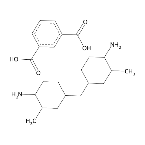 CC1CC(CC2CCC(N)C(C)C2)CCC1N.O=C(O)c1cccc(C(=O)O)c1